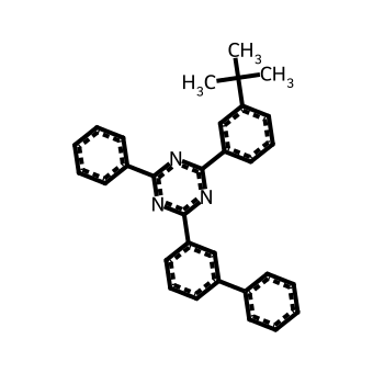 CC(C)(C)c1cccc(-c2nc(-c3ccccc3)nc(-c3cccc(-c4ccccc4)c3)n2)c1